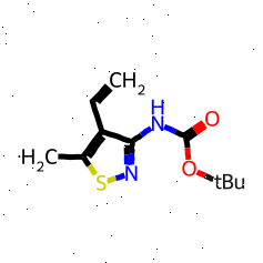 [CH2]c1snc(NC(=O)OC(C)(C)C)c1C=C